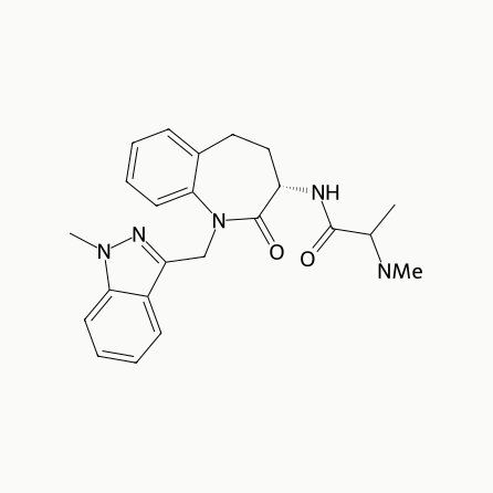 CNC(C)C(=O)N[C@H]1CCc2ccccc2N(Cc2nn(C)c3ccccc23)C1=O